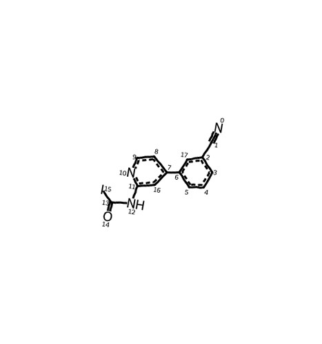 N#Cc1cccc(-c2ccnc(NC(=O)I)c2)c1